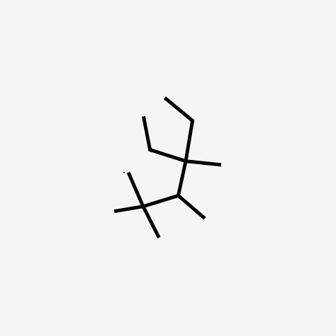 [CH2]C(C)(C)C(C)C(C)(CC)CC